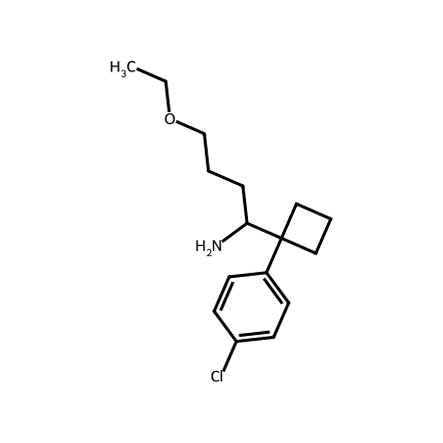 CCOCCCC(N)C1(c2ccc(Cl)cc2)CCC1